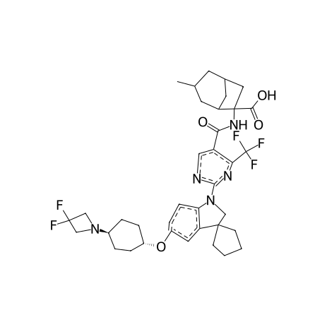 CC1CC2CC(C1)C(NC(=O)c1cnc(N3CC4(CCCC4)c4cc(O[C@H]5CC[C@H](N6CC(F)(F)C6)CC5)ccc43)nc1C(F)(F)F)(C(=O)O)C2